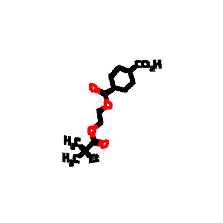 CCC(C)(C)C(=O)OCCOC(=O)C1CCC(C(=O)O)CC1